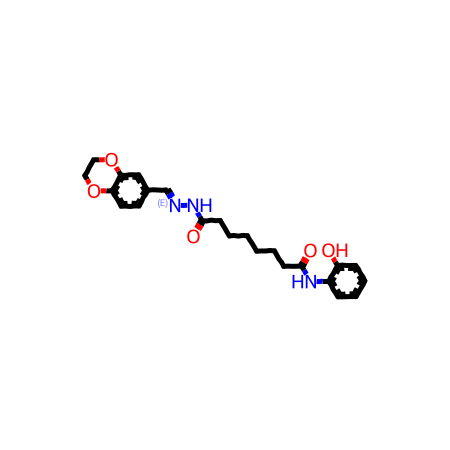 O=C(CCCCCCC(=O)Nc1ccccc1O)N/N=C/c1ccc2c(c1)OCCO2